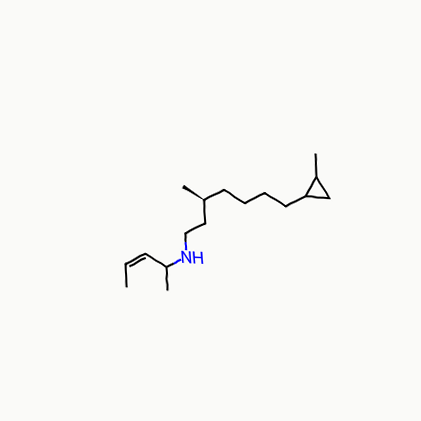 C/C=C\C(C)NCC[C@@H](C)CCCCC1CC1C